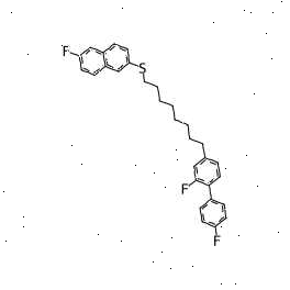 Fc1ccc(-c2ccc(CCCCCCCCSc3ccc4cc(F)ccc4c3)cc2F)cc1